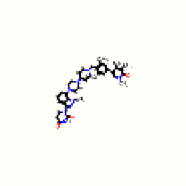 COc1cc(-c2cn(C)c(=O)c(C)c2C)cc(OC)c1CN1CCC(N2CCN(c3cccc4c(N5CCC(=O)NC5=O)nn(C)c34)CC2)CC1